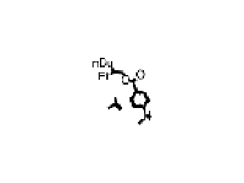 C=C(C)C.CCCCC(CC)COC(=O)c1ccc(N(C)C)cc1